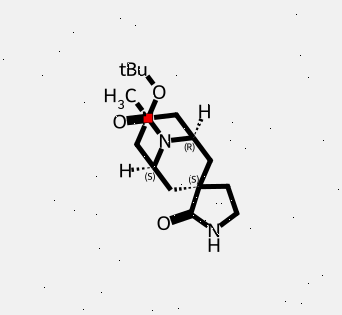 CN1C[C@@H]2C[C@@]3(CCNC3=O)C[C@H](C1)N2C(=O)OC(C)(C)C